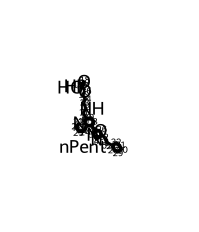 CCCCC/C(=C\c1nnc(-c2ccc(CNCCCO[PH](=O)O)c3ncccc23)o1)c1ccccc1